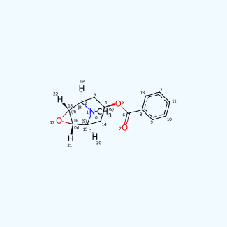 CN1[C@@H]2C[C@@H](OC(=O)c3ccccc3)C[C@H]1[C@@H]1O[C@@H]12